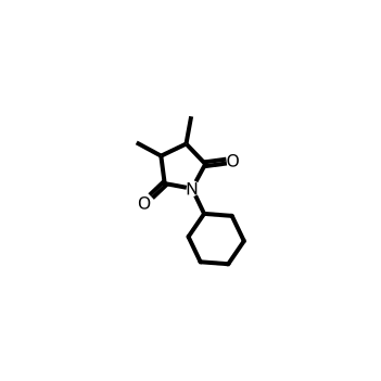 CC1C(=O)N(C2CCCCC2)C(=O)C1C